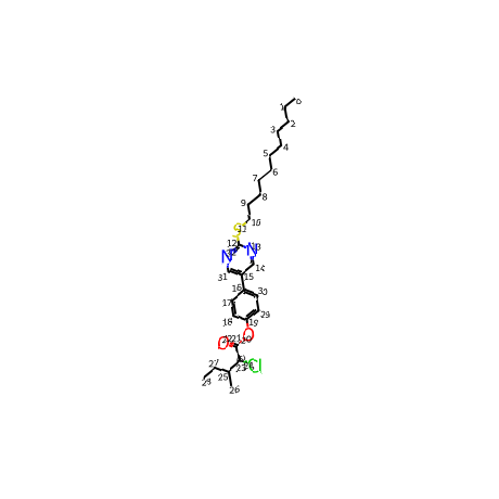 CCCCCCCCCCCSc1ncc(-c2ccc(OC(=O)[C@@H](Cl)C(C)CC)cc2)cn1